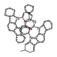 CC1C=c2c(c3ccc4c5ccccc5n(-c5nc(-c6ccccc6)nc(-n6c7ccccc7c7ccc8c9ccccc9n(C9=CC=CCC9)c8c76)n5)c4c3n2-c2ccccc2)=CC1